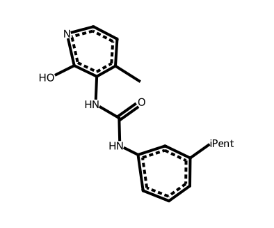 CCCC(C)c1cccc(NC(=O)Nc2c(C)ccnc2O)c1